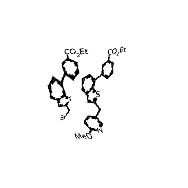 CCOC(=O)c1cccc(-c2cccc3cc(CBr)sc23)c1.CCOC(=O)c1cccc(-c2cccc3cc(Cc4ccc(OC)nc4)sc23)c1